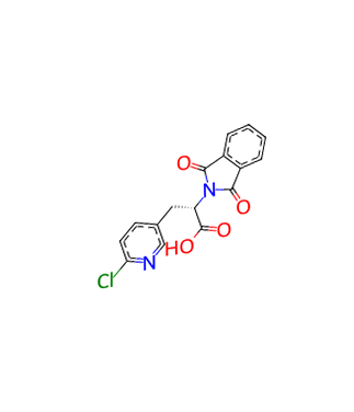 O=C(O)[C@H](Cc1ccc(Cl)nc1)N1C(=O)c2ccccc2C1=O